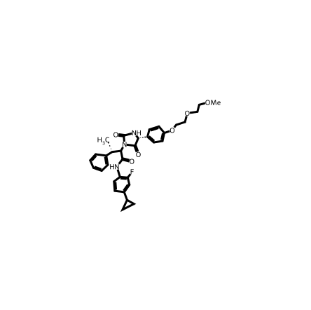 COCCOCCOc1ccc([C@H]2NC(=O)N(C(C(=O)Nc3ccc(C4CC4)cc3F)[C@@H](C)c3ccccc3)C2=O)cc1